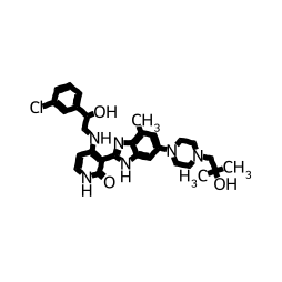 Cc1cc(N2CCN(CC(C)(C)O)CC2)cc2[nH]c(-c3c(NCC(O)c4cccc(Cl)c4)cc[nH]c3=O)nc12